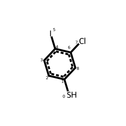 Sc1ccc(I)c(Cl)c1